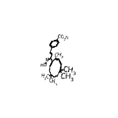 CC1=C/CC(C)(C)CCC(C)(C)C/C=C\1C(/C=C/c1ccc(C(=O)O)cc1)=N\O